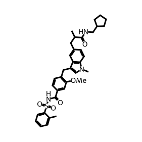 COc1cc(C(=O)NS(=O)(=O)c2ccccc2C)ccc1Cc1cn(C)c2ccc(CC(C)C(=O)NCC3CCCC3)cc12